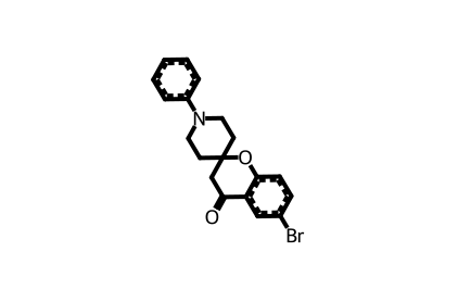 O=C1CC2(CCN(c3ccccc3)CC2)Oc2ccc(Br)cc21